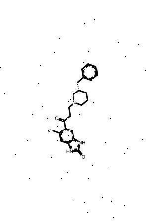 O=C(CCN1CCC[C@@H](Cc2ccccc2)C1)c1cc2[nH]c(=O)[nH]c2cc1Cl